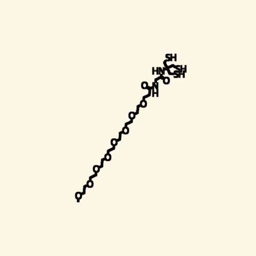 COCCOCCOCCOCCOCCOCCOCCOCCC(=O)NCC(=O)NC(CS)(CS)CS